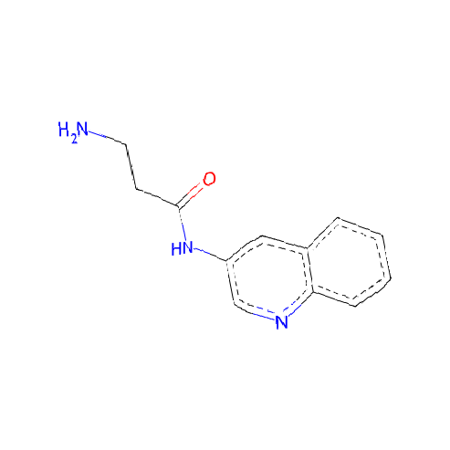 NCCC(=O)Nc1cnc2ccccc2c1